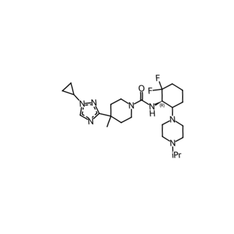 CC(C)N1CCN(C2CCCC(F)(F)[C@@H]2NC(=O)N2CCC(C)(c3ncn(C4CC4)n3)CC2)CC1